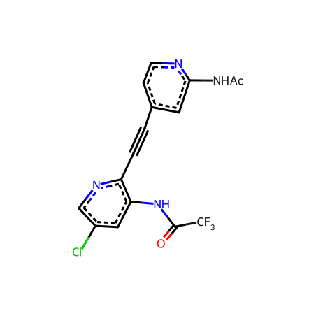 CC(=O)Nc1cc(C#Cc2ncc(Cl)cc2NC(=O)C(F)(F)F)ccn1